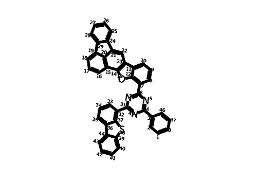 c1ccc(-c2nc(-c3cccc4c3oc3c5cccc6c5c(cc43)-c3ccccc3-6)nc(-c3cccc4c3sc3ccccc34)n2)cc1